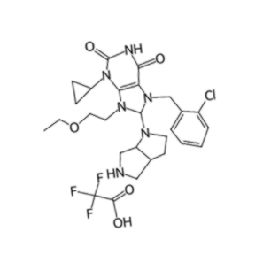 CCOCCN1c2c(c(=O)[nH]c(=O)n2C2CC2)N(Cc2ccccc2Cl)C1N1CCC2CNCC21.O=C(O)C(F)(F)F